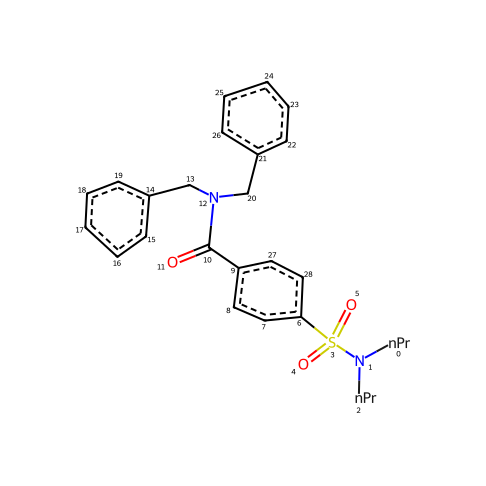 CCCN(CCC)S(=O)(=O)c1ccc(C(=O)N(Cc2ccccc2)Cc2ccccc2)cc1